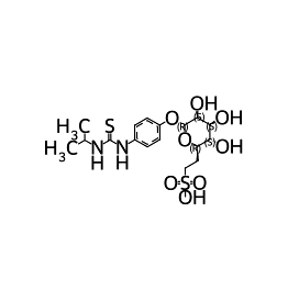 CC(C)NC(=S)Nc1ccc(O[C@H]2O[C@H](CCS(=O)(=O)O)[C@@H](O)[C@H](O)[C@@H]2O)cc1